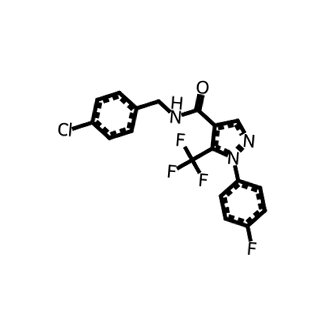 O=C(NCc1ccc(Cl)cc1)c1cnn(-c2ccc(F)cc2)c1C(F)(F)F